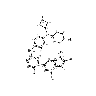 CCN1CCC([C@@H](c2ccc(Nc3ncc(F)c(-c4cc(F)c5nc(C)n(C(C)C)c5c4)n3)nc2)C2CNC2)CC1